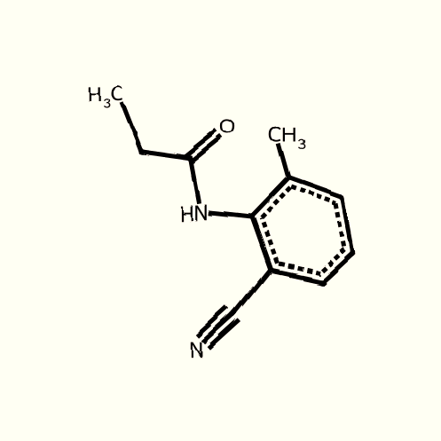 CCC(=O)Nc1c(C)cccc1C#N